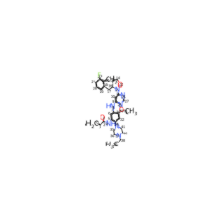 C=CC(=O)Nc1cc(Nc2cc(N3OCCC3Cc3cccc(F)c3C)ncn2)c(OC)cc1N1CCN(CC)CC1